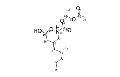 CCC[C@@H](C)C[C@H](CNC(=O)O[C@H](C)OC(C)=O)CC(=O)O